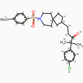 COc1ccc(S(=O)(=O)N2CCC3(CCC(CCC(=O)C(C)(C)c4ccc(Cl)cc4)C3)CC2)cc1